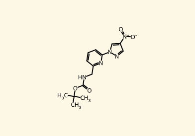 CC(C)(C)OC(=O)NCc1cccc(-n2cc([N+](=O)[O-])cn2)n1